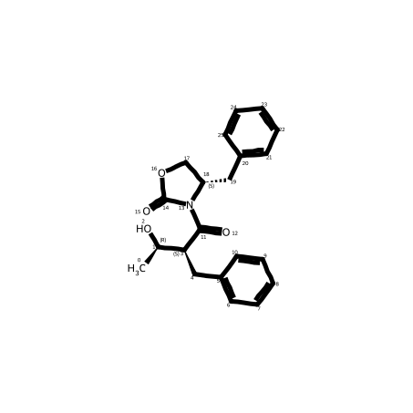 C[C@@H](O)[C@H](Cc1ccccc1)C(=O)N1C(=O)OC[C@@H]1Cc1ccccc1